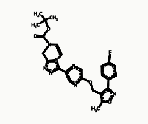 Cc1onc(-c2ccc(F)cc2)c1COc1cnc(-c2nnc3n2C=CN(C(=O)OC(C)(C)C)C3)cn1